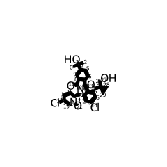 CC(C)(O)c1ccc2c(c1)C(=O)N(Cc1ccc(Cl)c[n+]1[O-])[C@@]2(OCC1(CO)CC1)c1ccc(Cl)cc1